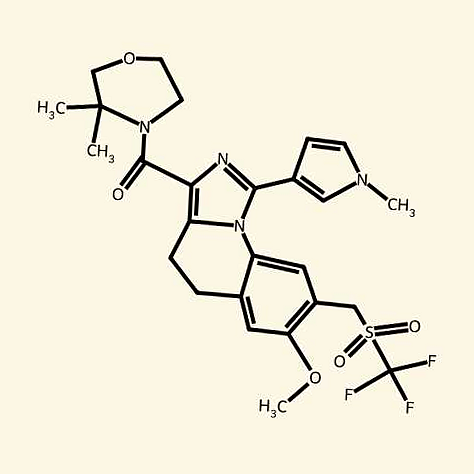 COc1cc2c(cc1CS(=O)(=O)C(F)(F)F)-n1c(-c3ccn(C)c3)nc(C(=O)N3CCOCC3(C)C)c1CC2